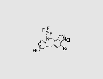 O=C(O)CC1Cc2cc(Br)c3c(cnn3Cl)c2CN(CC(F)(F)F)C1=O